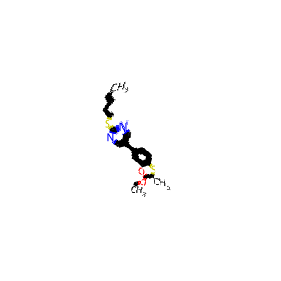 CCCCCSc1ncc(-c2ccc(S[C@H](C)C(=O)OCC)cc2)cn1